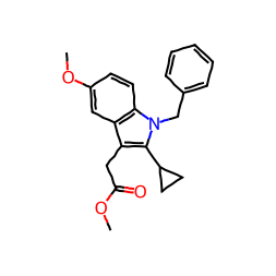 COC(=O)Cc1c(C2CC2)n(Cc2ccccc2)c2ccc(OC)cc12